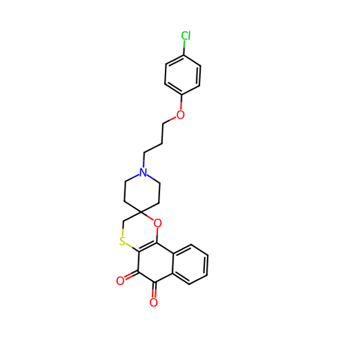 O=C1C(=O)c2ccccc2C2=C1SCC1(CCN(CCCOc3ccc(Cl)cc3)CC1)O2